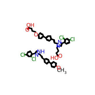 COc1ccc(-c2ccc(/C=C/c3nc(-c4ccc(Cl)cc4Cl)c[nH]3)cc2)cc1.O=C(O)CCCOc1ccc(-c2ccc(/C=C/c3nc(-c4ccc(Cl)cc4Cl)cn3CCCC(=O)O)cc2)cc1